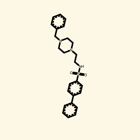 O=S(=O)(NCCN1CCN(Cc2ccccc2)CC1)c1ccc(-c2ccccc2)cc1